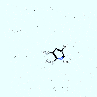 CCc1cnc(C(=O)O)c(C(=O)O)c1.[NaH]